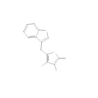 CCOC(=O)c1[nH]c(Cc2csc3ccccc23)c(C(C)=O)c1C